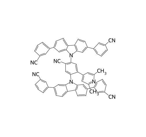 Cc1cc(-c2cc(-n3c4cc(-c5cccc(C#N)c5)ccc4c4ccc(-c5cccc(C#N)c5)cc43)c(C#N)cc2-n2c3cc(-c4cccc(C#N)c4)ccc3c3ccc(-c4cccc(C#N)c4)cc32)cc(C)n1